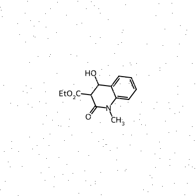 CCOC(=O)C1C(=O)N(C)c2ccccc2C1O